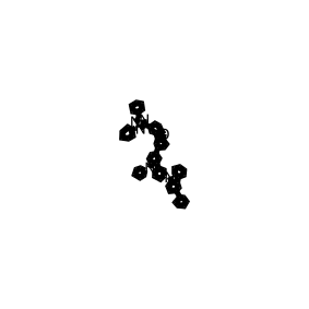 c1ccc(-c2ccc3c(c2)c2ccccc2n3-c2ccc3c(c2)c2cc(-c4ccc5oc6ccc(-c7nc(-c8ccccc8)nc(-c8ccccc8)n7)cc6c5c4)ccc2n3-c2ccccc2)cc1